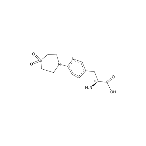 N[C@@H](Cc1ccc(N2CCS(=O)(=O)CC2)nc1)C(=O)O